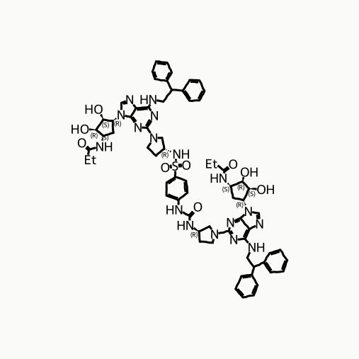 CCC(=O)N[C@H]1C[C@@H](n2cnc3c(NCC(c4ccccc4)c4ccccc4)nc(N4CC[C@@H](NC(=O)Nc5ccc(S(=O)(=O)N[C@@H]6CCN(c7nc(NCC(c8ccccc8)c8ccccc8)c8ncn([C@@H]9C[C@H](NC(=O)CC)[C@@H](O)[C@H]9O)c8n7)C6)cc5)C4)nc32)[C@H](O)[C@@H]1O